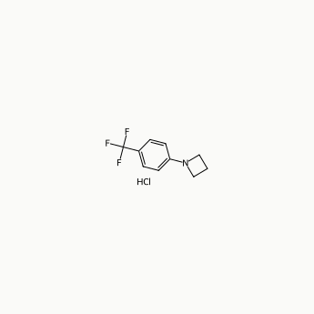 Cl.FC(F)(F)c1ccc(N2CCC2)cc1